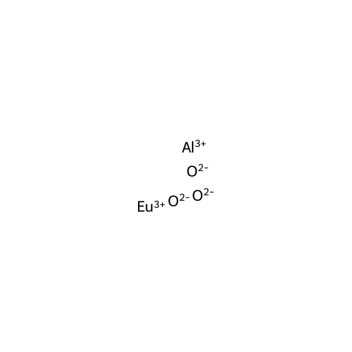 [Al+3].[Eu+3].[O-2].[O-2].[O-2]